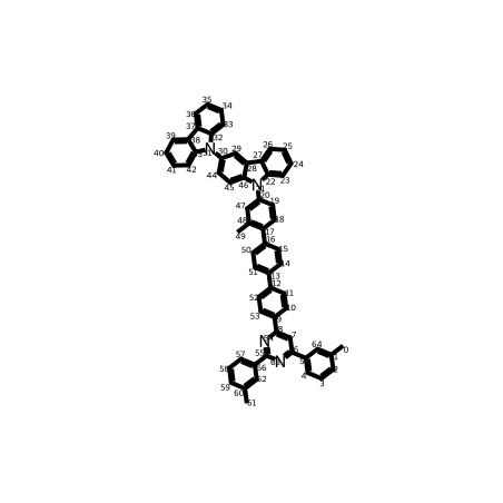 Cc1cccc(-c2cc(-c3ccc(-c4ccc(-c5ccc(-n6c7ccccc7c7cc(-n8c9ccccc9c9ccccc98)ccc76)cc5C)cc4)cc3)nc(-c3cccc(C)c3)n2)c1